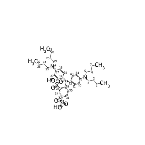 CCCCN(CCCC)c1ccc(C(=C2C=CC(=[N+](CCCC)CCCC)C=C2)c2ccc(S(=O)(=O)O)cc2S(=O)(=O)O)cc1